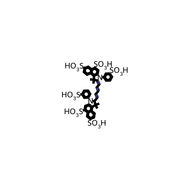 CC1(C)\C(=C/C=C/C=C/C2N(c3cccc(S(=O)(=O)O)c3)c3cc(S(=O)(=O)O)c4cc(S(=O)(=O)O)ccc4c3C2(C)C)N(c2cccc(S(=O)(=O)O)c2)c2cc(S(=O)(=O)O)c3cc(S(=O)(=O)O)ccc3c21